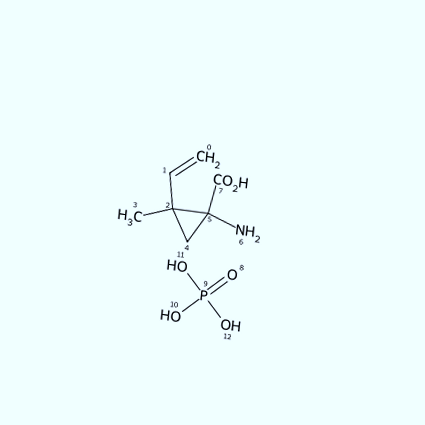 C=CC1(C)CC1(N)C(=O)O.O=P(O)(O)O